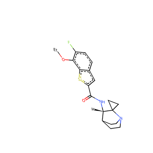 CCOc1c(F)ccc2cc(C(=O)N[C@H]3C4CCN(CC4)C34CC4)sc12